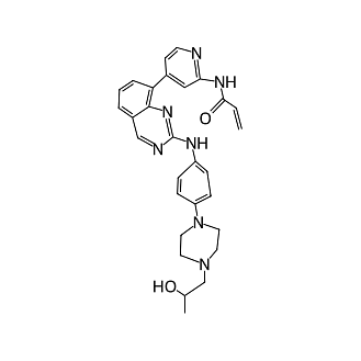 C=CC(=O)Nc1cc(-c2cccc3cnc(Nc4ccc(N5CCN(CC(C)O)CC5)cc4)nc23)ccn1